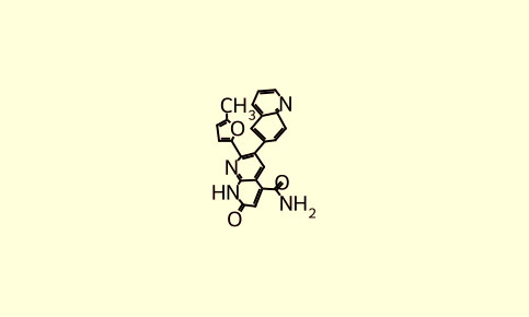 Cc1ccc(-c2nc3[nH]c(=O)cc(C(N)=O)c3cc2-c2ccc3ncccc3c2)o1